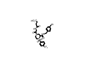 CC(C)c1ccc(CNC(=O)C2CN(C(=O)CNC(=O)CCC(=O)O)CCN2S(=O)(=O)c2ccc(C(F)(F)F)cc2)cc1